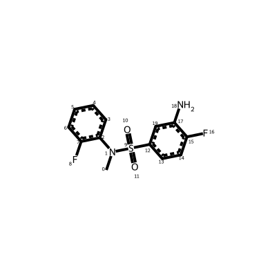 CN(c1ccccc1F)S(=O)(=O)c1ccc(F)c(N)c1